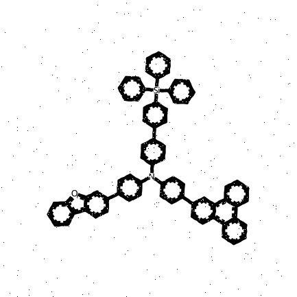 c1ccc([Si](c2ccccc2)(c2ccccc2)c2ccc(-c3ccc(N(c4ccc(-c5ccc6c(c5)oc5ccccc56)cc4)c4ccc(-c5ccc6c7ccccc7c7ccccc7c6c5)cc4)cc3)cc2)cc1